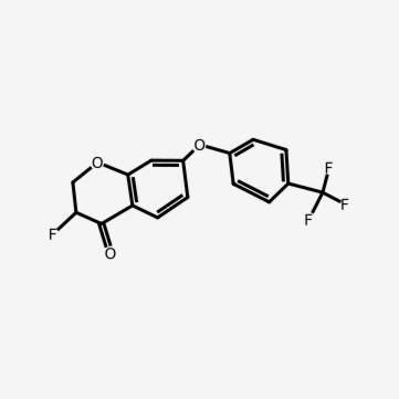 O=C1c2ccc(Oc3ccc(C(F)(F)F)cc3)cc2OCC1F